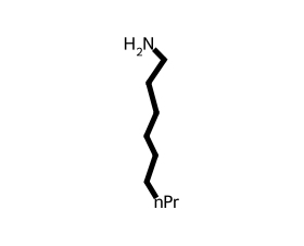 C[CH]CCCCCCCN